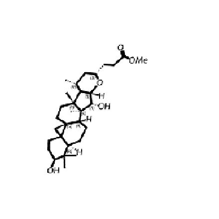 COC(=O)CC[C@H]1C[C@@H](C)C2[C@H](O1)[C@H](O)[C@@]1(C)[C@@H]3CC[C@H]4C(C)(C)C(O)CCC45C[C@@]35CC[C@]21C